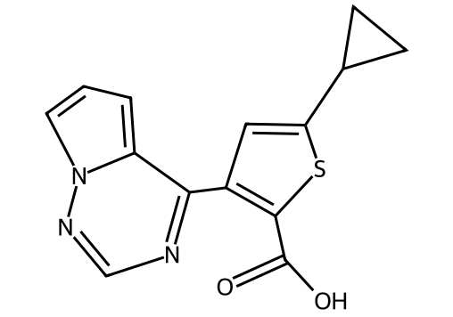 O=C(O)c1sc(C2CC2)cc1-c1ncnn2cccc12